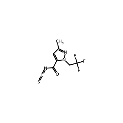 Cc1cc(C(=O)N=C=S)n(CC(F)(F)F)n1